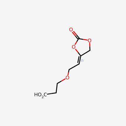 O=C(O)CCOC/C=C1/COC(=O)O1